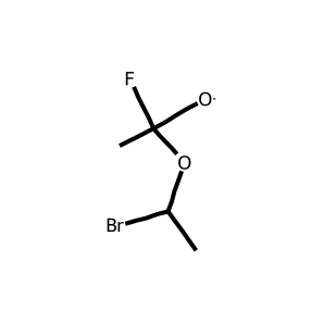 CC(Br)OC(C)([O])F